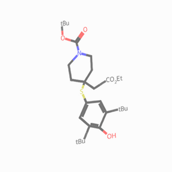 CCOC(=O)CC1(Sc2cc(C(C)(C)C)c(O)c(C(C)(C)C)c2)CCN(C(=O)OC(C)(C)C)CC1